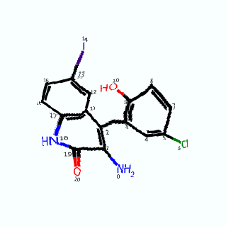 Nc1c(-c2cc(Cl)ccc2O)c2cc(I)ccc2[nH]c1=O